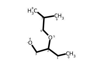 CCC(C[O])OCC(C)C